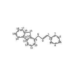 C(=Cc1ccccc1)Cc1cccc2c1Cc1ccccc1-2